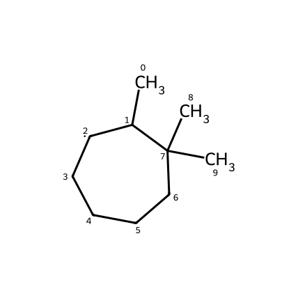 CC1[CH]CCCCC1(C)C